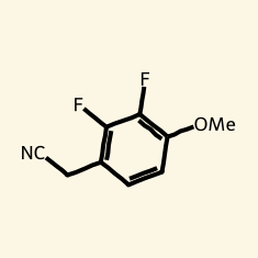 COc1ccc(CC#N)c(F)c1F